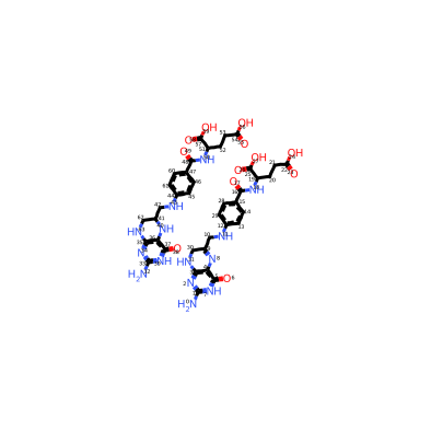 Nc1nc2c(c(=O)[nH]1)N=C(CNc1ccc(C(=O)NC(CCC(=O)O)C(=O)O)cc1)CN2.Nc1nc2c(c(=O)[nH]1)NC(CNc1ccc(C(=O)NC(CCC(=O)O)C(=O)O)cc1)CN2